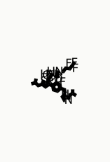 CC(C)Cc1cc(-c2ccc(Cn3ccnc3C(C)C)c(F)c2)c(S(=O)(=O)NC(=O)NCCCC(F)(F)F)s1